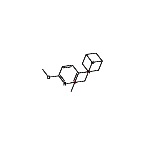 CCCN1CC2CC(C1)N2Cc1ccc(OC)nc1